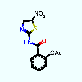 CC(=O)Oc1ccccc1C(=O)NC1=NCC([N+](=O)[O-])S1